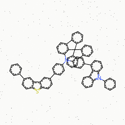 c1ccc(-c2ccc3sc4ccc(-c5ccc(N(c6ccc(-c7cccc8c7c7ccccc7n8-c7ccccc7)cc6)c6cccc7c6C6(c8ccccc8-c8ccccc86)c6ccccc6-7)cc5)cc4c3c2)cc1